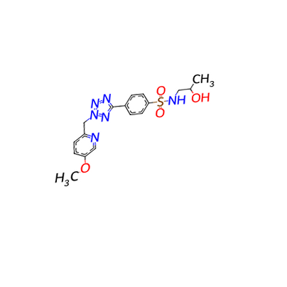 COc1ccc(Cn2nnc(-c3ccc(S(=O)(=O)NCC(C)O)cc3)n2)nc1